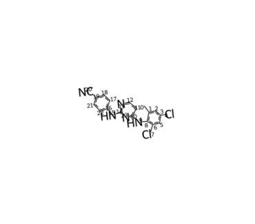 Cc1cc(Cl)cc(Cl)c1Nc1ccnc(Nc2ccc(C#N)cc2)n1